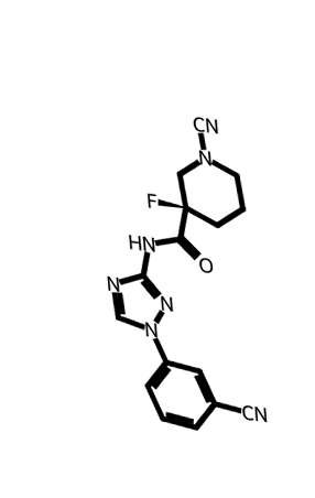 N#Cc1cccc(-n2cnc(NC(=O)[C@@]3(F)CCCN(C#N)C3)n2)c1